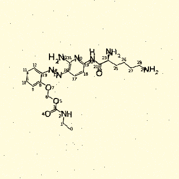 CCNC(=O)OCOc1ccccc1/N=N/c1ccc(NC(=O)[C@@H](N)CCCCN)nc1N